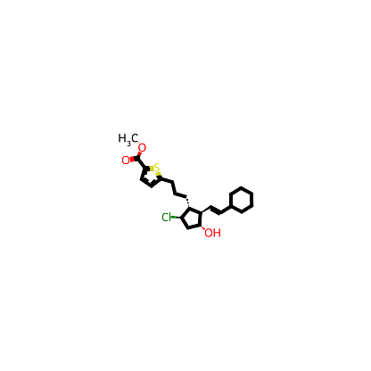 COC(=O)c1ccc(CCC[C@@H]2[C@@H](C=CC3CCCCC3)[C@H](O)C[C@H]2Cl)s1